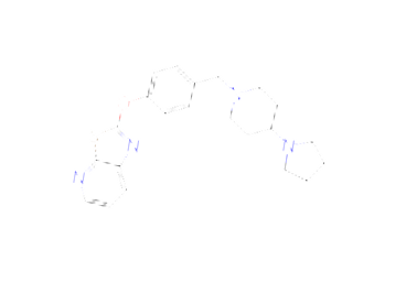 c1cnc2sc(Oc3ccc(CN4CCC(N5CCCC5)CC4)cc3)nc2c1